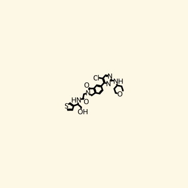 O=C(CN1Cc2ccc(-c3nc(NC4CCOCC4)ncc3Cl)cc2C1=O)NC(CO)c1ccsc1